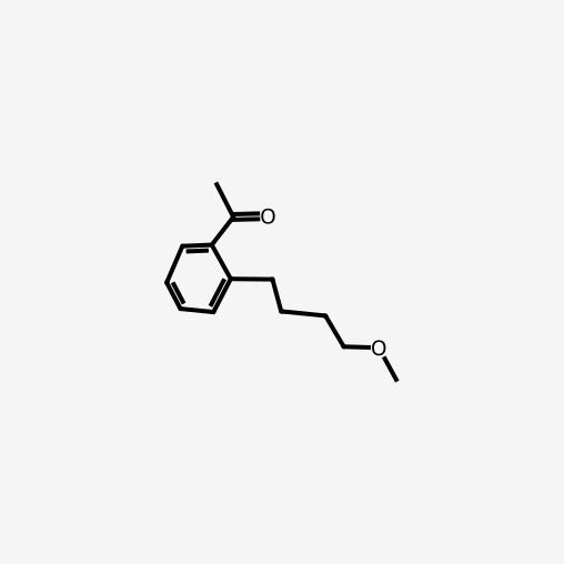 COCCCCc1ccccc1C(C)=O